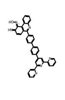 N=C1C=Cc2c(-c3ccc(-c4ccc(-c5cc(-c6ccccn6)nc(-c6ccccn6)c5)cc4)cc3)nc3ccccc3c2/C1=N/O